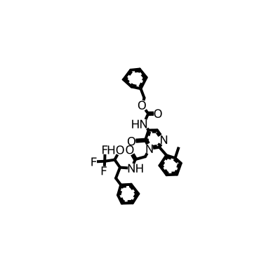 Cc1ccccc1-c1ncc(NC(=O)OCc2ccccc2)c(=O)n1CC(=O)NC(Cc1ccccc1)C(O)C(F)(F)F